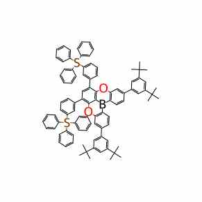 CC(C)(C)c1cc(-c2ccc3c(c2)Oc2c(-c4cccc(S(c5ccccc5)(c5ccccc5)c5ccccc5)c4)cc(-c4cccc(S(c5ccccc5)(c5ccccc5)c5ccccc5)c4)c4c2B3c2ccc(-c3cc(C(C)(C)C)cc(C(C)(C)C)c3)cc2O4)cc(C(C)(C)C)c1